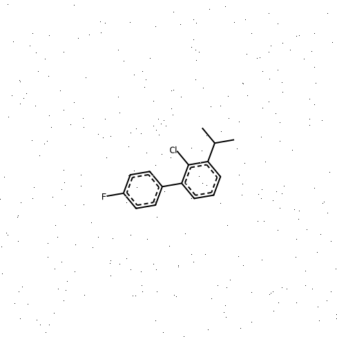 CC(C)c1cc[c]c(-c2ccc(F)cc2)c1Cl